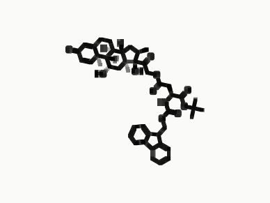 C[C@@H]1C[C@H]2[C@@H]3CCC4=CC(=O)C=C[C@]4(C)[C@@]3(F)[C@@H](O)C[C@]2(C)[C@@]1(O)C(=O)COC(=O)C[C@H](NC(=O)OCC1c2ccccc2-c2ccccc21)C(=O)OC(C)(C)C